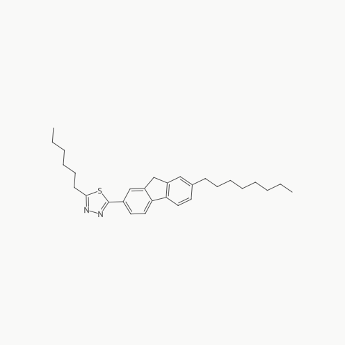 CCCCCCCCc1ccc2c(c1)Cc1cc(-c3nnc(CCCCCC)s3)ccc1-2